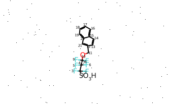 O=S(=O)(O)C(F)(F)C(F)(F)C(F)(F)OCc1ccc2ccccc2c1